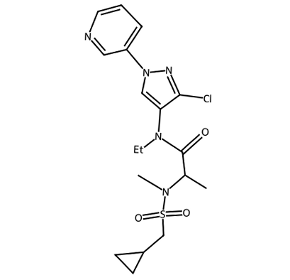 CCN(C(=O)C(C)N(C)S(=O)(=O)CC1CC1)c1cn(-c2cccnc2)nc1Cl